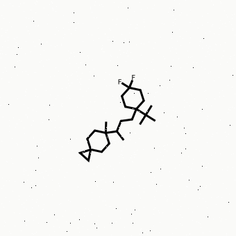 CC(CCC1(C(C)(C)C)CCC(F)(F)CC1)C1(C)CCC2(CC2)CC1